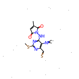 [C-]#[N+]c1c(C=S)nc(SC)nc1NN1C(=O)C=C(C)C1=O